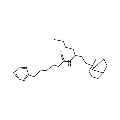 CCCCC(CCC12CC3CC(CC(C3)C1)C2)NC(=O)CCCCCc1ccncc1